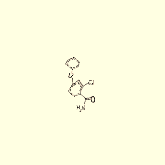 NC(=O)c1ccc(Oc2ccccc2)cc1Cl